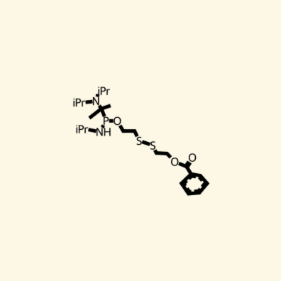 CC(C)NP(OCCSSCCOC(=O)c1ccccc1)C(C)(C)N(C(C)C)C(C)C